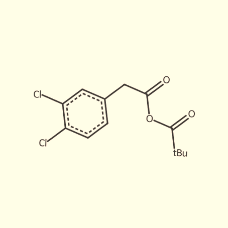 CC(C)(C)C(=O)OC(=O)Cc1ccc(Cl)c(Cl)c1